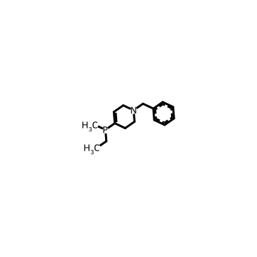 CCP(C)C1=CCN(Cc2ccccc2)CC1